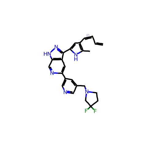 C=C/C=C\c1cc(-c2n[nH]c3cnc(-c4cncc(CN5CCC(F)(F)C5)c4)cc23)[nH]c1C